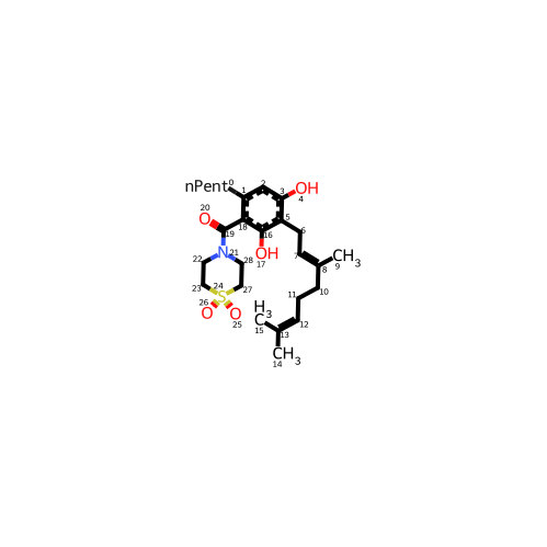 CCCCCc1cc(O)c(C/C=C(\C)CCC=C(C)C)c(O)c1C(=O)N1CCS(=O)(=O)CC1